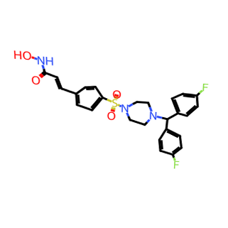 O=C(C=Cc1ccc(S(=O)(=O)N2CCN(C(c3ccc(F)cc3)c3ccc(F)cc3)CC2)cc1)NO